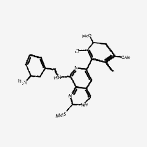 COC1=C(C)C(c2cc3c(c(NCC4=CC=CC(N)C4)n2)=NC(SC)NC=3)=C(Cl)C(OC)C1